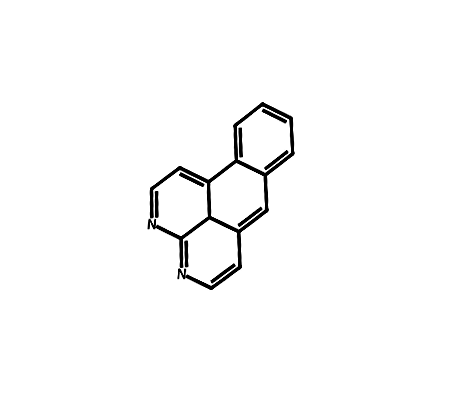 C1=CC2=Cc3ccccc3C3=CC=NC(=N1)C23